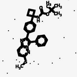 CSc1ccc2nc(-c3ccc(C4(NC(=O)OC(C)(C)C)CCC4)cc3)c(-c3ccccc3)n2n1